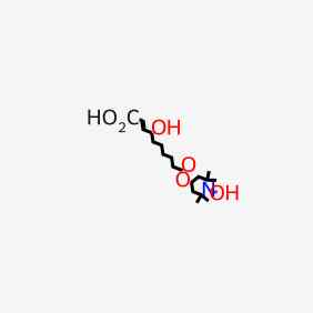 CC1(C)CC(OC(=O)CCCCCC(O)C=CC(=O)O)CC(C)(C)N1O